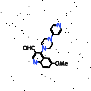 COc1ccc2ncc(C=O)c(N3CCN(c4ccncc4)CC3)c2c1